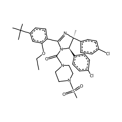 CCOc1cc(C(C)(C)C)ccc1C1=N[C@@](C)(c2ccc(Cl)cc2)[C@@H](c2ccc(Cl)cc2)N1C(=O)N1CCN(S(C)(=O)=O)CC1